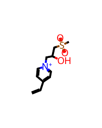 C=Cc1cc[n+](CC(O)CS(C)(=O)=O)cc1